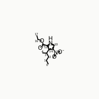 CCCC(C)c1c([N+](=O)[O-])c[nH]c1C(=O)OCC